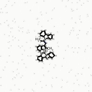 C=C/C(=C\C1=C(C)P2(=O)B3N(c4ccccc4-c4nc5ccccc5n43)c3cccc1c32)n1c2ccccc2c2ccccc21